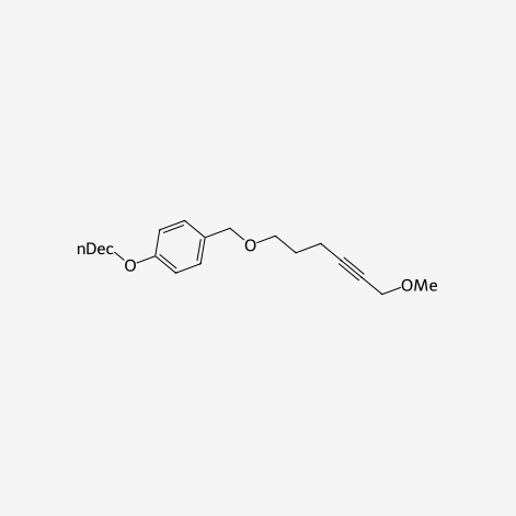 CCCCCCCCCCOc1ccc(COCCCC#CCOC)cc1